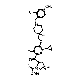 COC(=O)[C@@H]1C[C@@H](F)CN1C(=O)c1cc(C2CC2)c(OCC2(F)CCN(Cc3ccc(C)cc3Cl)CC2)cc1F